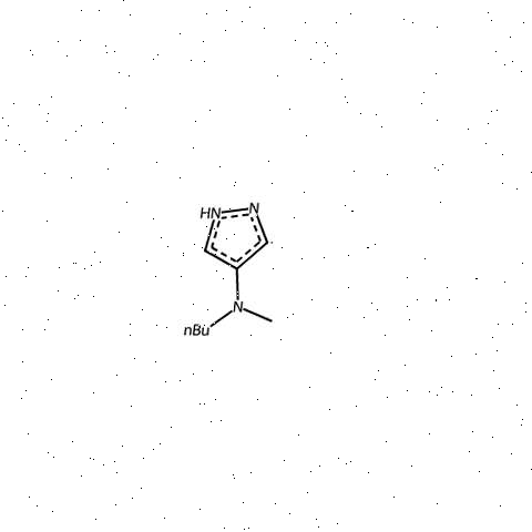 CCCCN(C)c1[c]n[nH]c1